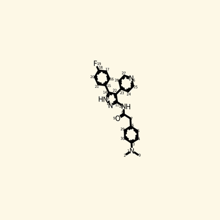 CN(C)c1ccc(CC(=O)Nc2n[nH]c(-c3ccc(F)cc3)c2-c2ccncc2)cc1